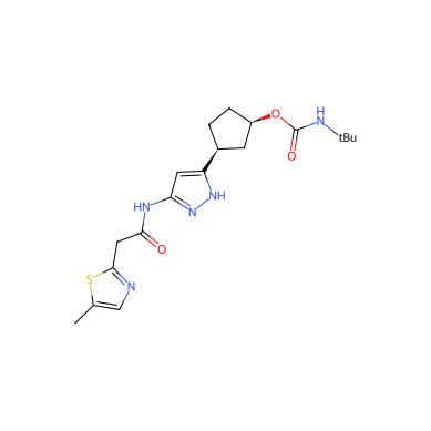 Cc1cnc(CC(=O)Nc2cc([C@H]3CC[C@@H](OC(=O)NC(C)(C)C)C3)[nH]n2)s1